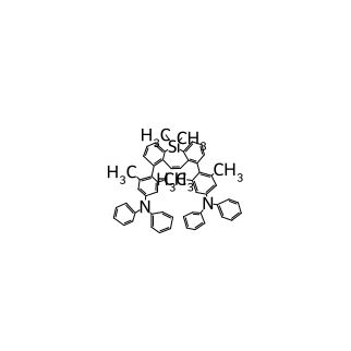 Cc1cc(N(c2ccccc2)c2ccccc2)cc(C)c1-c1cccc2c1C=Cc1c(-c3c(C)cc(N(c4ccccc4)c4ccccc4)cc3C)cccc1[Si]2(C)C